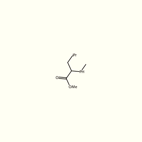 COC(=O)C(CC(C)C)PC